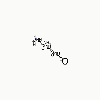 C/N=C(/NC)NCCCC(N)C(=O)NCCSCC(=O)NCCCCC1(C)CCCCCCC1